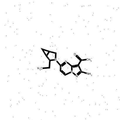 CCC1C2CC2CN1c1ccn2nc(N)c(C(C)=O)c2n1